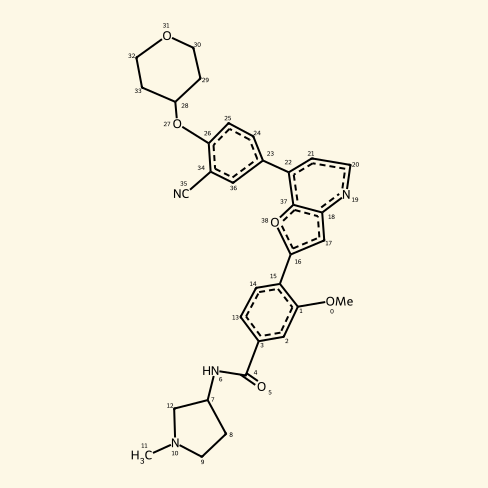 COc1cc(C(=O)NC2CCN(C)C2)ccc1-c1cc2nccc(-c3ccc(OC4CCOCC4)c(C#N)c3)c2o1